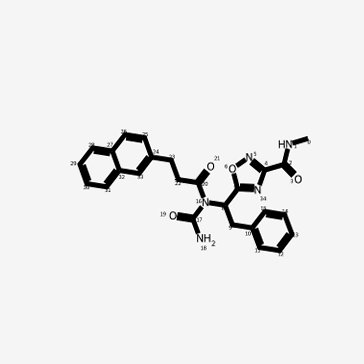 CNC(=O)c1noc(C(Cc2ccccc2)N(C(N)=O)C(=O)[CH]Cc2ccc3ccccc3c2)n1